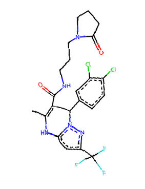 CC1=C(C(=O)NCCCN2CCCC2=O)C(c2ccc(Cl)c(Cl)c2)n2nc(C(F)(F)F)cc2N1